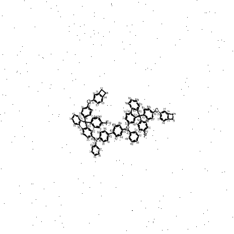 Fc1ccc(C2(c3ccc(Oc4ccc5c(c4)CC5)cc3)c3ccccc3-c3ccc(N(c4ccccc4)c4ccc(-c5ccc(N(c6ccccc6)c6ccc7c(c6)C(c6ccc(F)cc6)(c6ccc(Oc8ccc9c(c8)CC9)cc6)c6ccccc6-7)cc5)cc4)cc32)cc1